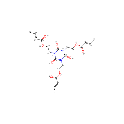 CC=CC(=O)OCCn1c(=O)n(CCOC(=O)C=CC)c(=O)n(CCOC(=O)C=CC)c1=O